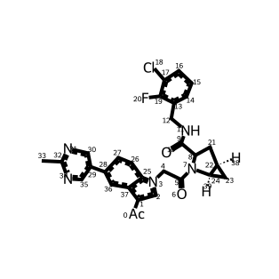 CC(=O)c1cn(CC(=O)N2C(C(=O)NCc3cccc(Cl)c3F)C[C@H]3C[C@H]32)c2ccc(-c3cnc(C)nc3)cc12